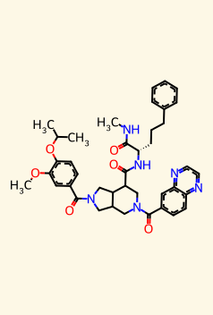 CNC(=O)[C@H](CCCc1ccccc1)NC(=O)C1CN(C(=O)c2ccc3nccnc3c2)CC2CN(C(=O)c3ccc(OC(C)C)c(OC)c3)CC21